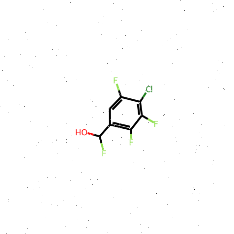 OC(F)c1cc(F)c(Cl)c(F)c1F